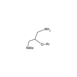 CNCC(CN)OC(C)=O